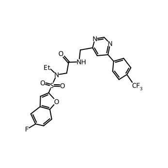 CCN(CC(=O)NCc1cc(-c2ccc(C(F)(F)F)cc2)ncn1)S(=O)(=O)c1cc2cc(F)ccc2o1